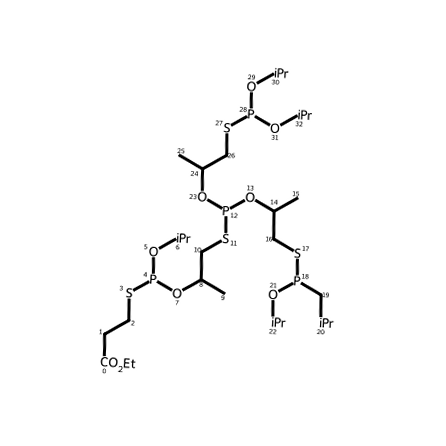 CCOC(=O)CCSP(OC(C)C)OC(C)CSP(OC(C)CSP(CC(C)C)OC(C)C)OC(C)CSP(OC(C)C)OC(C)C